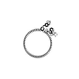 CC1(C)CN(C(=O)N2CCCCCCCCCCCCCCCCCCCCCCCCCCCCCCCCCCCCCCCCCCCCCCCC3(CCN(Cc4ccc(F)c(C#N)c4)CC3)CC2)c2cccnc21